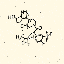 CC(C)NC[C@@H](C(=O)N1CCN(c2ncnc3c2[C@H](C)C[C@H]3O)CC1)c1ccc(F)c(C(F)(F)F)c1